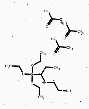 CC(=O)O.CC(=O)O.CC(=O)O.CCO[Si](OCC)(OCC)C(CC)NCCN